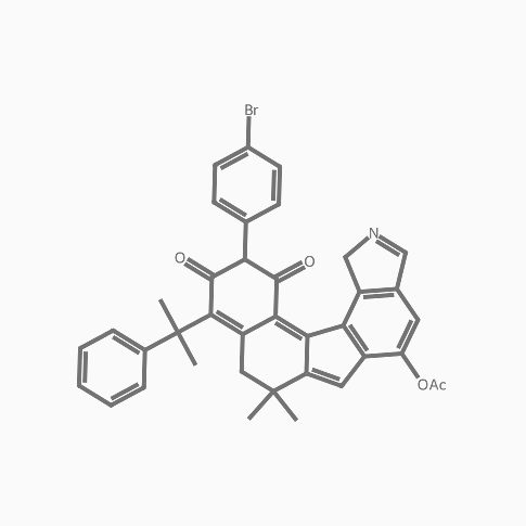 CC(=O)Oc1cc2c(c3c1C=C1C3=C3C(=O)C(c4ccc(Br)cc4)C(=O)C(C(C)(C)c4ccccc4)=C3CC1(C)C)CN=C2